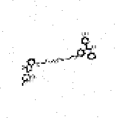 CC/C(=C(\c1ccc(O)cc1)c1ccc(OCCOCCOCCOCCOc2cccc3c2CN(C2CCC(=O)NC2=O)C3=O)cc1)c1ccccc1